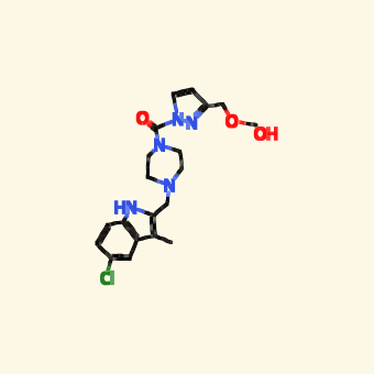 Cc1c(CN2CCN(C(=O)n3ccc(COCO)n3)CC2)[nH]c2ccc(Cl)cc12